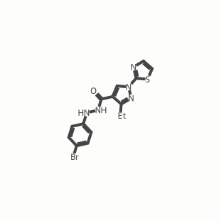 CCc1nn(-c2nccs2)cc1C(=O)NNc1ccc(Br)cc1